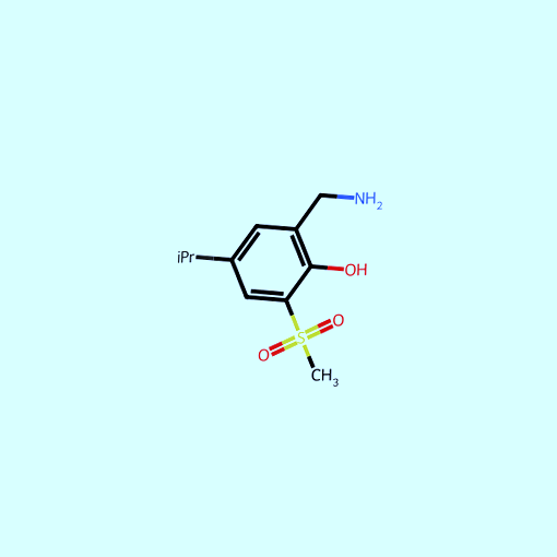 CC(C)c1cc(CN)c(O)c(S(C)(=O)=O)c1